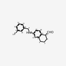 O=CC1CCCc2nc(NCc3cccc(F)c3)ccc21